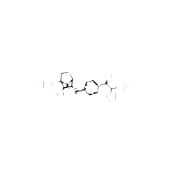 CC(O)C(=O)c1ccc(C=C2C(=O)C3(C)CCC2C3(C)C)cc1